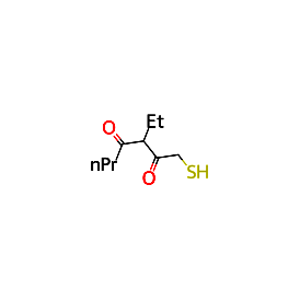 CCCC(=O)C(CC)C(=O)CS